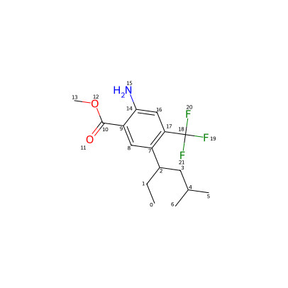 CCC(CC(C)C)c1cc(C(=O)OC)c(N)cc1C(F)(F)F